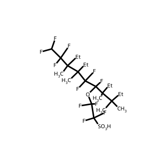 CCC(C)(C)C(C)(CC)C(F)(OC(F)(F)C(F)(F)S(=O)(=O)O)C(F)(F)C(C)(CC)C(C)(CC)C(F)(F)C(F)F